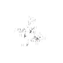 Cc1cn([C@H]2CC(OP(C)(O)=S)[C@@H](COP(O)(=S)O[C@@H]3C[C@H](n4cc(C)c(=O)[nH]c4=O)O[C@@H]3COP(O)(=S)OC3C[C@H](N4CNC5=C4NC(N)NC5=O)O[C@@H]3COP(O)(=S)OC3C[C@H](N4C=CC(N)NC4=O)O[C@@H]3COP)O2)c(=O)[nH]c1=O